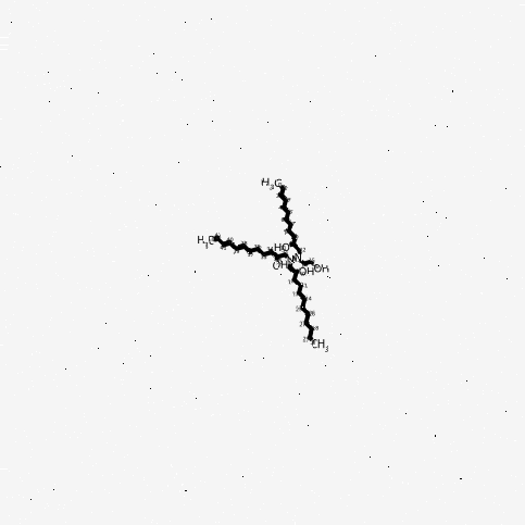 CCCCCCCCCCC(O)CN(CCO)N(CC(O)CCCCCCCCCC)CC(O)CCCCCCCCCC